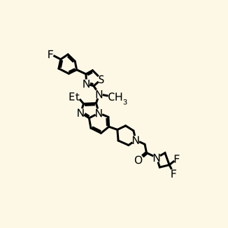 CCc1nc2ccc(C3CCN(CC(=O)N4CC(F)(F)C4)CC3)cn2c1N(C)c1nc(-c2ccc(F)cc2)cs1